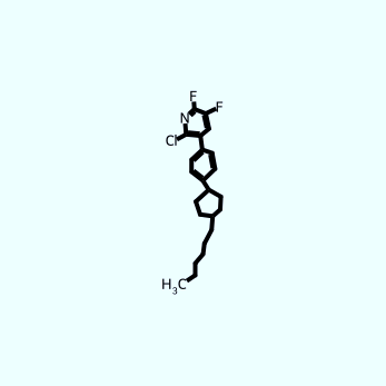 CCCCCCC1CCC(c2ccc(-c3cc(F)c(F)nc3Cl)cc2)CC1